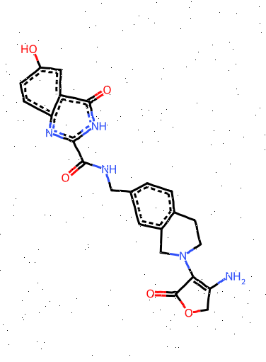 NC1=C(N2CCc3ccc(CNC(=O)c4nc5ccc(O)cc5c(=O)[nH]4)cc3C2)C(=O)OC1